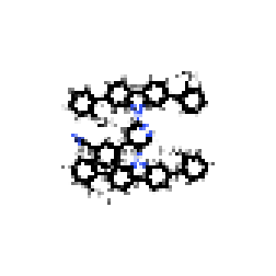 Cc1ccccc1-c1ccc2c3ccc(-c4ccccc4C)cc3n(-c3cc(-c4cccc(C#N)c4)c(-n4c5cc(-c6ccccc6C)ccc5c5ccc(-c6ccccc6C)cc54)cn3)c2c1